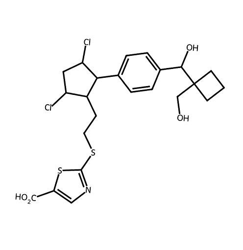 O=C(O)c1cnc(SCCC2C(Cl)CC(Cl)C2c2ccc(C(O)C3(CO)CCC3)cc2)s1